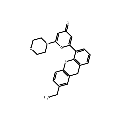 NCc1ccc2c(c1)Cc1cccc(-c3cc(=O)cc(N4CCOCC4)o3)c1S2